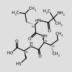 CC[C@H](C)[C@H](NC(=O)[C@H](CC(C)C)NC(=O)C(C)(C)N)C(=O)N[C@@H](CS)C(=O)O